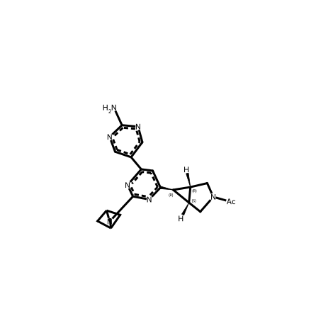 CC(=O)N1C[C@@H]2[C@H](C1)[C@H]2c1cc(-c2cnc(N)nc2)nc(N2CC3CC2C3)n1